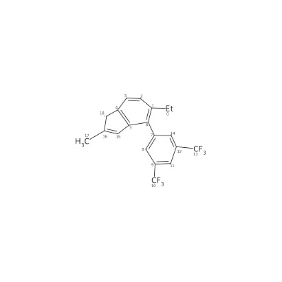 CCc1ccc2c(c1-c1cc(C(F)(F)F)cc(C(F)(F)F)c1)C=C(C)[CH]2